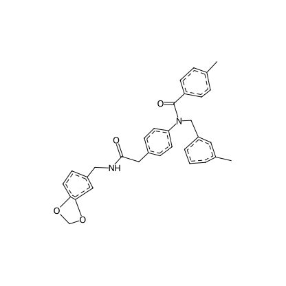 Cc1ccc(C(=O)N(Cc2cccc(C)c2)c2ccc(CC(=O)NCc3ccc4c(c3)OCO4)cc2)cc1